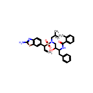 C=CC(c1ccc2nc(N)sc2c1)S(=O)(=O)N(CC(C)C)CC(O)C(Cc1ccccc1)NC(=O)c1ccccc1C